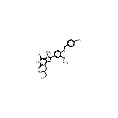 COc1cc(-c2nc3c(c(=O)[nH]c(=O)n3CC(O)CO)n2C)ccc1OCc1ccc(C)cc1